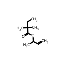 C=CC(C)OC(=O)C(C)(C)CC